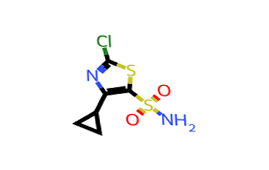 NS(=O)(=O)c1sc(Cl)nc1C1CC1